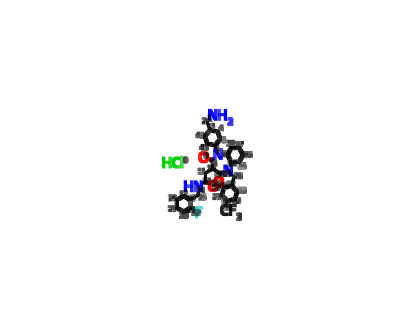 Cl.NCc1ccc(N2C(=O)C(CC(=O)NCc3ccccc3F)C(=O)N(Cc3ccc(C(F)(F)F)cc3)c3ccccc32)cc1